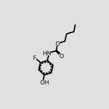 CCCCOC(=O)Nc1ccc(O)cc1F